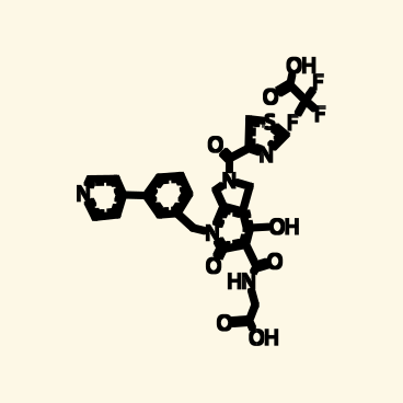 O=C(O)C(F)(F)F.O=C(O)CNC(=O)c1c(O)c2c(n(Cc3cccc(-c4ccncc4)c3)c1=O)CN(C(=O)c1cscn1)C2